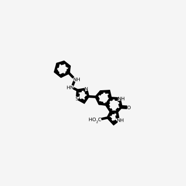 O=C(O)c1c[nH]c2c(=O)[nH]c3ccc(-c4csc(NNc5ccccc5)n4)cc3c12